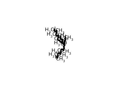 CCCCOC(CCCC(C)CC(C)CC(C)CC(C)CC(C)I)OC(CCCC(C)CC(C)CC(C)CC(C)CC(C)I)OCCCC